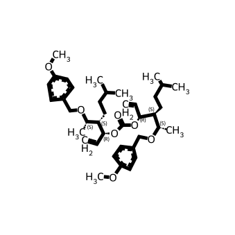 C=C[C@@H](OC(=O)O[C@H](C=C)[C@@H](CCC(C)C)[C@H](C)OCc1ccc(OC)cc1)[C@@H](CCC(C)C)[C@H](C)OCc1ccc(OC)cc1